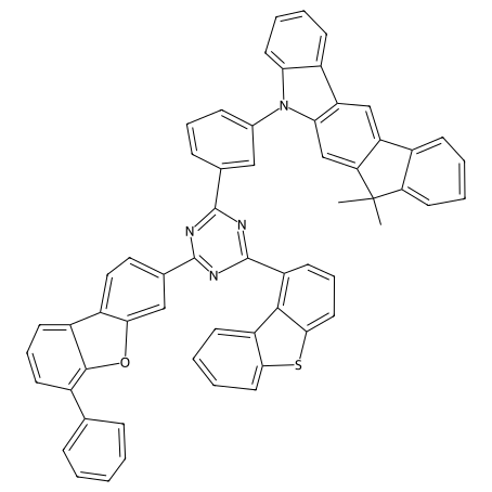 CC1(C)c2ccccc2-c2cc3c4ccccc4n(-c4cccc(-c5nc(-c6ccc7c(c6)oc6c(-c8ccccc8)cccc67)nc(-c6cccc7sc8ccccc8c67)n5)c4)c3cc21